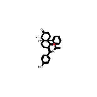 Cc1nc(-c2ccc(O)cc2)c2c(n1)[C@@]1(c3ccccc3)CCC(=O)[C@@H](C)[C@@H]1CC2